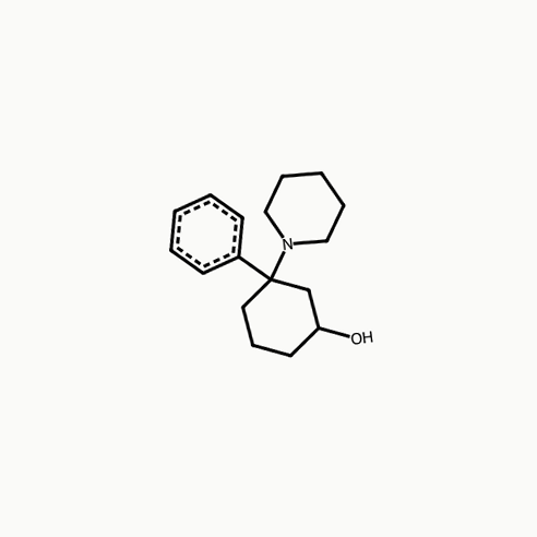 OC1CCCC(c2ccccc2)(N2CCCCC2)C1